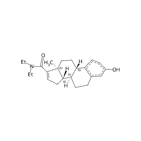 CCN(CC)C(=O)C1=CC[C@H]2[C@@H]3CCc4cc(O)ccc4[C@H]3CC[C@]12C